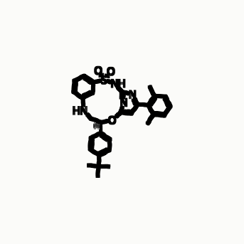 Cc1cccc(C)c1-c1cc2nc(n1)NS(=O)(=O)c1cccc(c1)NC[C@H](c1ccc(C(C)(C)C)cc1)O2